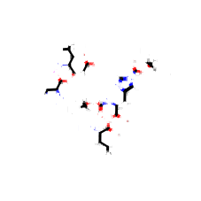 CCC(N)C(=O)O[C@@H](CC(=O)O)[C@@H](N)CC(C)C.CC[C@H](C)[C@H](N)C(=O)OC(=O)[C@H](Cc1cn(C(=O)OC(C)(C)C)cn1)NC(=O)OC(C)(C)C